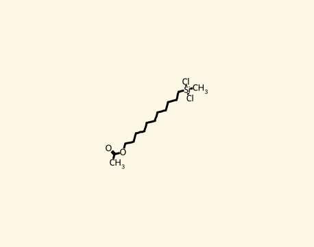 CC(=O)OCCCCCCCCCCC[Si](C)(Cl)Cl